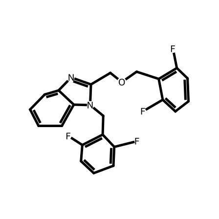 Fc1cccc(F)c1COCc1nc2ccccc2n1Cc1c(F)cccc1F